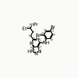 CCCC(CC)CCc1nc(Nc2ccc(Br)cc2Br)c2nn[nH]c2n1